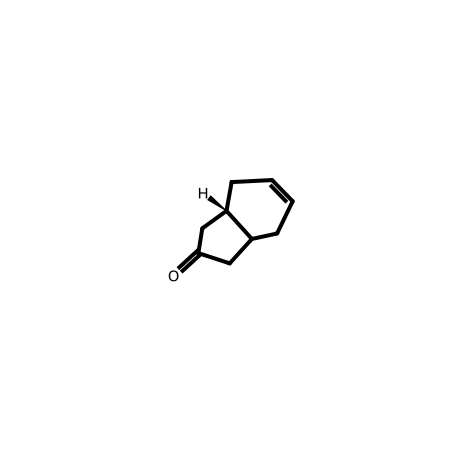 O=C1CC2CC=CC[C@H]2C1